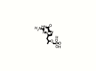 CC(Cc1cnc2c(=O)[nH]c(N)nn12)OCP(=O)(O)O